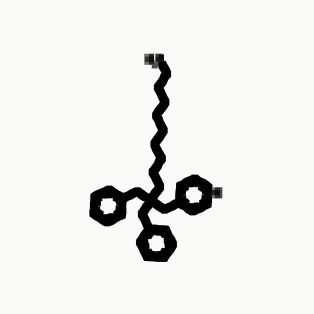 I.PCCCCCCCCCC(Cc1ccccc1)(Cc1ccccc1)Cc1ccccc1